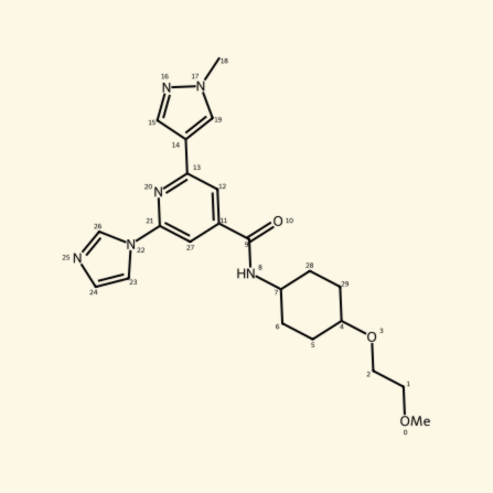 COCCOC1CCC(NC(=O)c2cc(-c3cnn(C)c3)nc(-n3ccnc3)c2)CC1